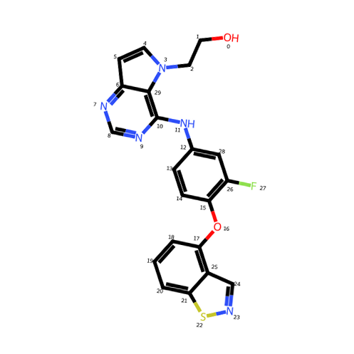 OCCn1ccc2ncnc(Nc3ccc(Oc4cccc5sncc45)c(F)c3)c21